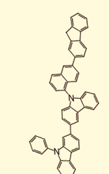 c1ccc(-n2c3ccccc3c3ccc(-c4ccc5c(c4)c4ccccc4n5-c4cccc5cc(-c6ccc7c(c6)Cc6ccccc6-7)ccc45)cc32)cc1